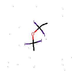 CC(I)(I)OC(C)(I)I